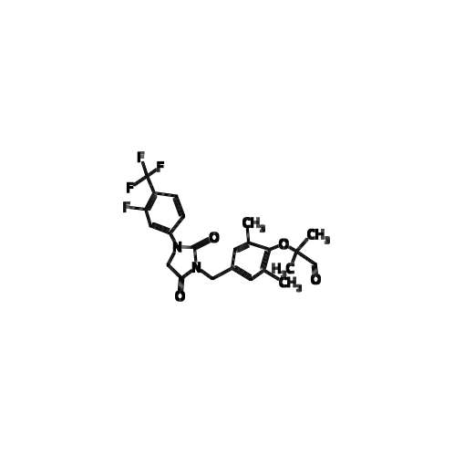 Cc1cc(CN2C(=O)CN(c3ccc(C(F)(F)F)c(F)c3)C2=O)cc(C)c1OC(C)(C)C=O